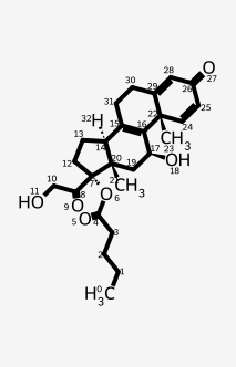 CCCCC(=O)O[C@]1(C(=O)CO)CC[C@H]2C3=C([C@@H](O)C[C@@]21C)[C@@]1(C)C=CC(=O)C=C1CC3